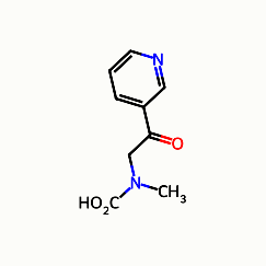 CN(CC(=O)c1cccnc1)C(=O)O